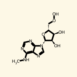 CNc1ncnc2c1ncn2[C@@H]1O[C@H](COO)[C@@H](O)[C@H]1O